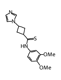 COc1ccc(NC(=S)C2CC(n3ccnc3)C2)cc1OC